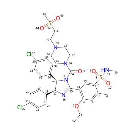 CCOc1cc(C)c(S(=O)(=O)NC)cc1C1=N[C@@H](c2ccc(Cl)cc2)[C@@H](c2ccc(Cl)cc2)N1C(=O)N1CCN(CCS(C)(=O)=O)CC1